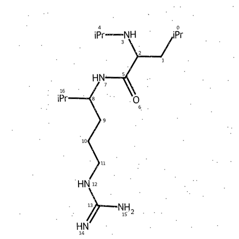 CC(C)CC(NC(C)C)C(=O)NC(CCCNC(=N)N)C(C)C